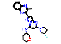 Cc1nc2ccccc2nc1-c1cc2nc(N3CC[C@H](F)C3)cc(N[C@H]3CCCOC3)n2n1